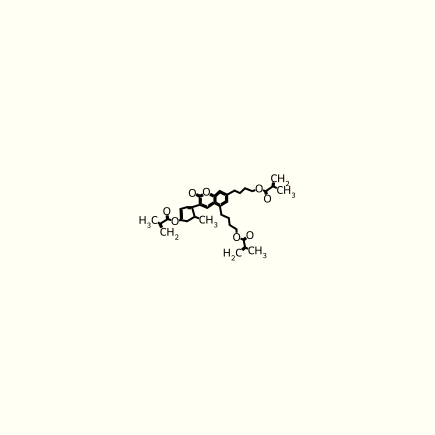 C=C(C)C(=O)OCCCCc1cc(CCCCOC(=O)C(=C)C)c2cc(C3=CC=C(OC(=O)C(=C)C)CC3C)c(=O)oc2c1